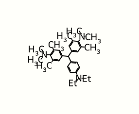 CCN(CC)c1ccc(C(c2cc(C)c(N(C)C)c(C)c2)c2cc(C)c(N(C)C)c(C)c2)cc1